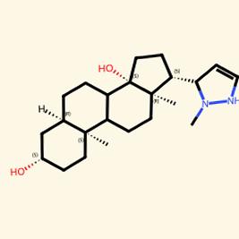 CN1NC=CC1[C@H]1CC[C@]2(O)C3CC[C@@H]4C[C@@H](O)CC[C@]4(C)C3CC[C@]12C